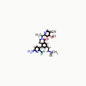 CCOc1cc(C(C)N2CCc3c(cc(CCN(C)CC)cc3-c3ccc(N)nc3C(F)F)C2=O)ncc1C#N